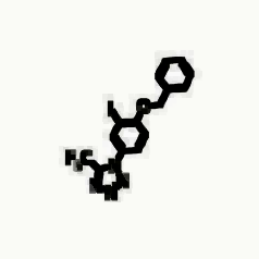 FC(F)(F)c1nnnn1-c1ccc(OCc2ccccc2)c(I)c1